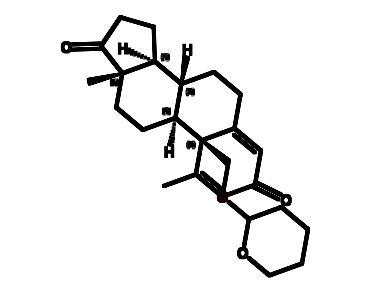 CC1=CC(=O)C=C2CC[C@@H]3[C@H](CC[C@]4(C)C(=O)CC[C@@H]34)[C@@]12COC1CCCCO1